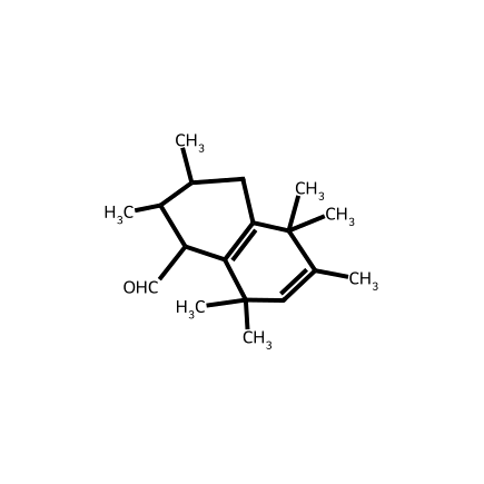 CC1=CC(C)(C)C2=C(CC(C)C(C)C2C=O)C1(C)C